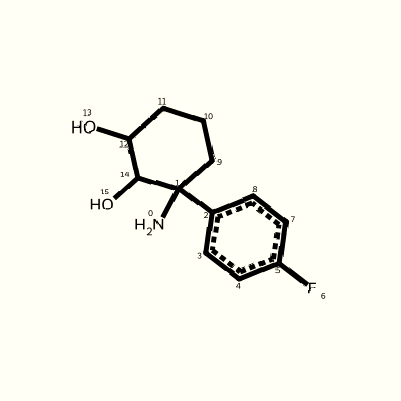 NC1(c2ccc(F)cc2)CCCC(O)C1O